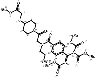 COCCN(CC(=O)N1CCC(OCC(=O)OC(C)(C)C)CC1)C(=O)c1ccc(C(=NC(=O)OC(C)(C)C)N(C(=O)OC(C)(C)C)C(=O)OC(C)(C)C)cc1